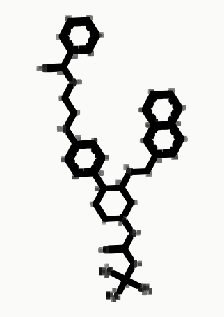 CC(C)(C)OC(=O)ON1CCC(c2ccc(OCCOC(=O)c3ccccc3)cc2)C(OCc2ccc3ccccc3c2)C1